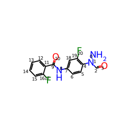 NN(C=O)c1ccc(NC(=O)c2ccccc2F)cc1F